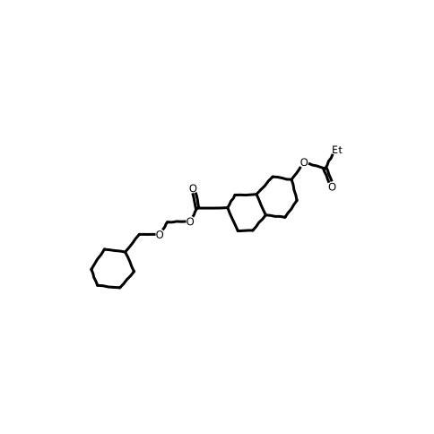 CCC(=O)OC1CCC2CCC(C(=O)OCOCC3CCCCC3)CC2C1